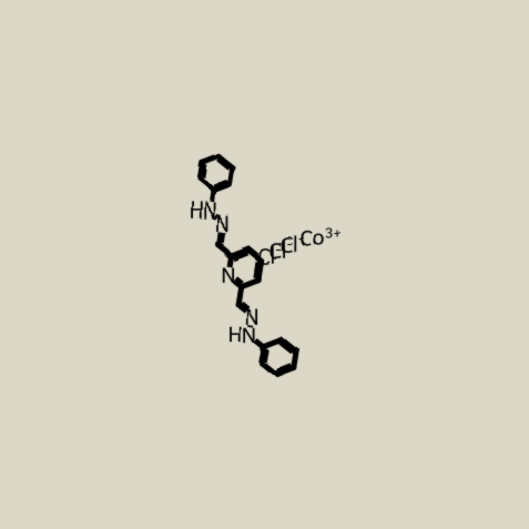 C(=NNc1ccccc1)c1cccc(C=NNc2ccccc2)n1.[Cl-].[Cl-].[Cl-].[Co+3]